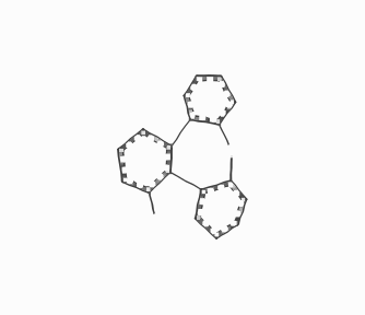 Ic1cccc2c1-c1ccccc1Oc1ccccc1-2